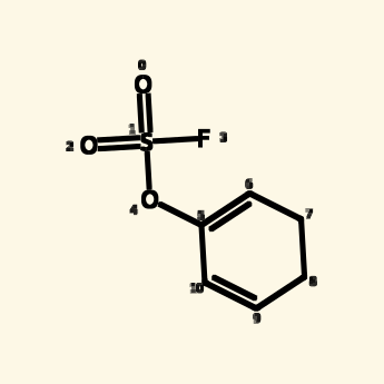 O=S(=O)(F)OC1=CCCC=C1